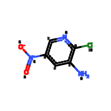 Nc1cc([N+](=O)[O-])cnc1Cl